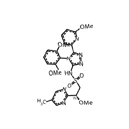 COc1cccc(-c2nnc(NS(=O)(=O)C[C@@H](OC)c3ncc(C)cn3)n2-c2c(OC)cccc2OC)n1